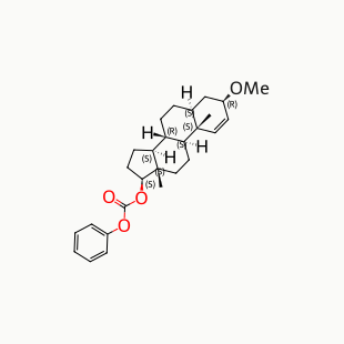 CO[C@H]1C=C[C@@]2(C)[C@@H](CC[C@@H]3[C@@H]2CC[C@]2(C)[C@@H](OC(=O)Oc4ccccc4)CC[C@@H]32)C1